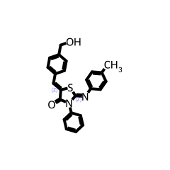 Cc1ccc(/N=C2\S/C(=C\c3ccc(CO)cc3)C(=O)N2c2ccccc2)cc1